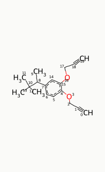 C#CCOc1ccc(C(C)C(C)(C)C)cc1OCC#C